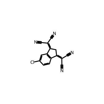 N#CC(C#N)=C1CC(=C(C#N)C#N)c2cc(Cl)ccc21